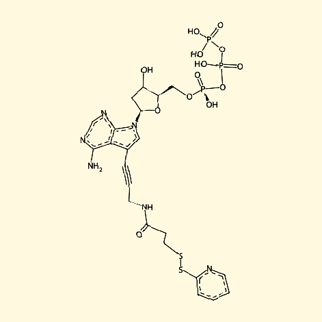 Nc1ncnc2c1c(C#CCNC(=O)CCSSc1ccccn1)cn2[C@H]1CC(O)[C@@H](CO[P@@](=O)(O)OP(=O)(O)OP(=O)(O)O)O1